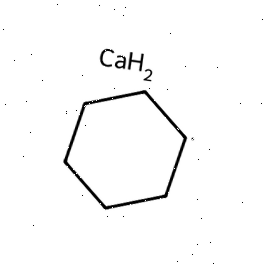 [CH]1CCCCC1.[CaH2]